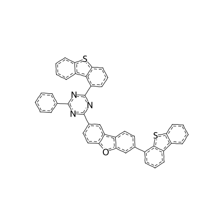 c1ccc(-c2nc(-c3ccc4oc5cc(-c6cccc7c6sc6ccccc67)ccc5c4c3)nc(-c3cccc4sc5ccccc5c34)n2)cc1